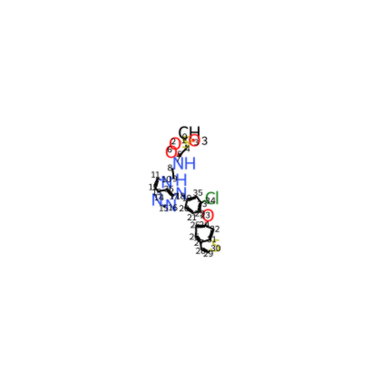 CS(=O)(=O)CC(=O)NCCn1ccc2ncnc(Nc3ccc(Oc4ccc5ccsc5c4)c(Cl)c3)c21